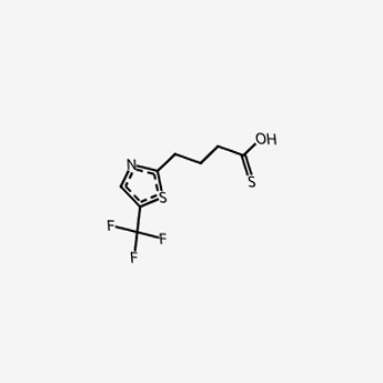 OC(=S)CCCc1ncc(C(F)(F)F)s1